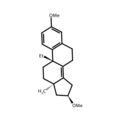 CC[C@]12CC[C@]3(C)C[C@H](OC)CC3=C1CCc1cc(OC)ccc12